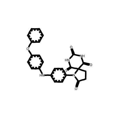 O=C1NC(=O)C2(CCC(=O)N2c2ccc(Nc3ccc(Oc4ccccc4)cc3)cc2)C(=O)N1